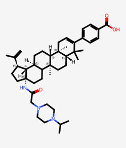 C=C(C)[C@@H]1CC[C@]2(NC(=O)CN3CCN(C(C)C)CC3)CCC3[C@H](CC[C@@H]4[C@@]5(C)CC=C(c6ccc(C(=O)O)cc6)C(C)(C)[C@@H]5CC[C@@]34C)[C@@H]12